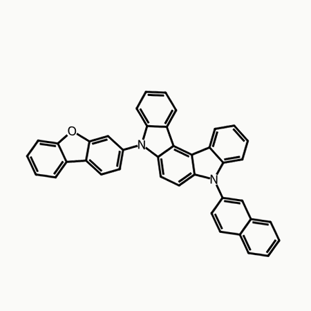 c1ccc2cc(-n3c4ccccc4c4c5c6ccccc6n(-c6ccc7c(c6)oc6ccccc67)c5ccc43)ccc2c1